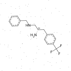 N[C@H](CNCc1ccccc1)Cc1ccc(C(F)(F)F)cc1